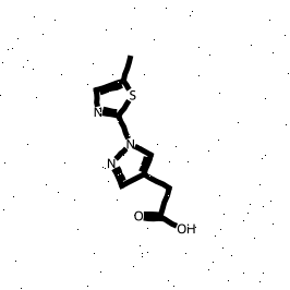 Cc1cnc(-n2cc(CC(=O)O)cn2)s1